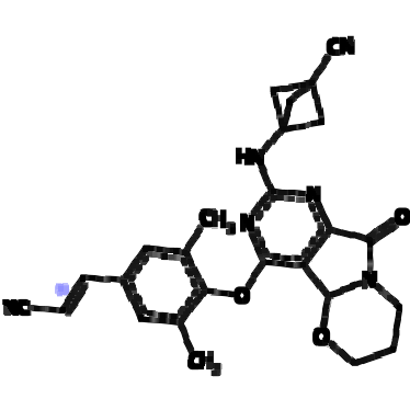 Cc1cc(/C=C/C#N)cc(C)c1Oc1nc(NC23CC(C#N)(C2)C3)nc2c1C1OCCCN1C2=O